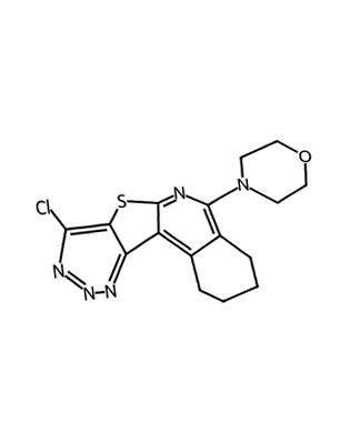 Clc1nnnc2c1sc1nc(N3CCOCC3)c3c(c12)CCCC3